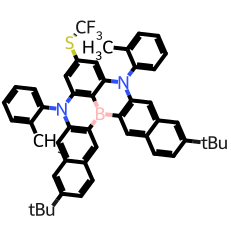 Cc1ccccc1N1c2cc3cc(C(C)(C)C)ccc3cc2B2c3cc4ccc(C(C)(C)C)cc4cc3N(c3ccccc3C)c3cc(SC(F)(F)F)cc1c32